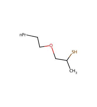 CCCCCOCC(C)S